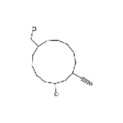 N#CC1CCCCCC(CCl)CCCCC(Cl)C1